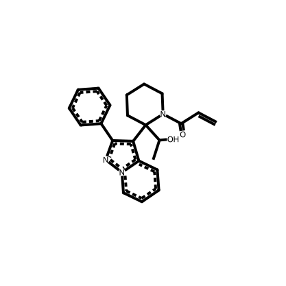 C=CC(=O)N1CCCCC1(c1c(-c2ccccc2)nn2ccccc12)C(C)O